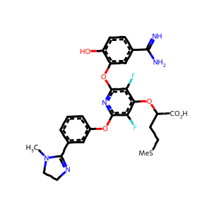 CSCCC(Oc1c(F)c(Oc2cccc(C3=NCCN3C)c2)nc(Oc2cc(C(=N)N)ccc2O)c1F)C(=O)O